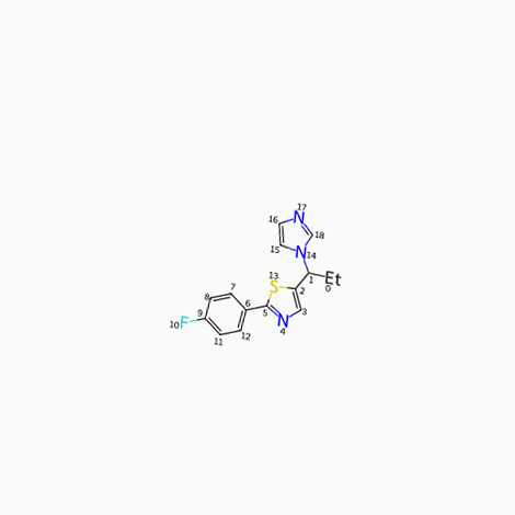 CCC(c1cnc(-c2ccc(F)cc2)s1)n1ccnc1